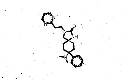 CN(C)[C@]1(c2ccccc2)CC[C@@]2(CC1)CN(CCc1ncccn1)C(=O)N2